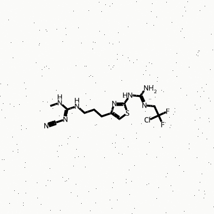 CNC(=NC#N)NCCCc1csc(NC(N)=NCC(F)(F)Cl)n1